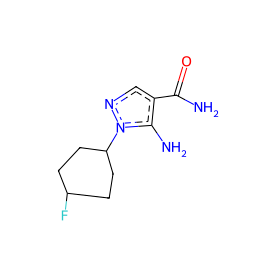 NC(=O)c1cnn(C2CCC(F)CC2)c1N